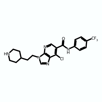 O=C(Nc1ccc(C(F)(F)F)cc1)c1cnc2c(ncn2CCC2CCNCC2)c1Cl